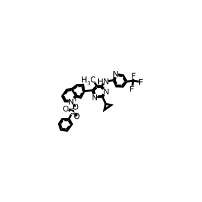 Cc1c(Nc2ccc(C(F)(F)F)cn2)nc(C2CC2)nc1-c1ccc2ccc[n+](OS(=O)(=O)c3ccccc3)c2c1